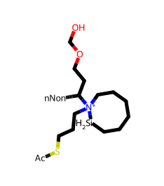 CCCCCCCCCC(CCOCO)[N+]1(CCCSC(C)=O)CCCCCC[SiH2]1